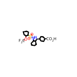 O=C(O)c1ccc(-c2nn(S(=O)(=O)c3ccccc3OC(F)(F)F)c3ccccc23)cc1